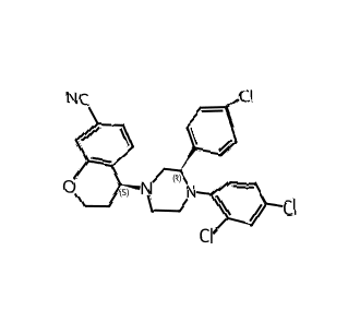 N#Cc1ccc2c(c1)OCC[C@@H]2N1CCN(c2ccc(Cl)cc2Cl)[C@H](c2ccc(Cl)cc2)C1